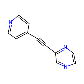 C(#Cc1cnccn1)c1ccncc1